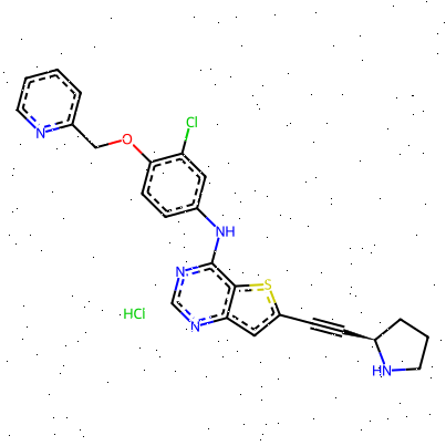 Cl.Clc1cc(Nc2ncnc3cc(C#C[C@H]4CCCN4)sc23)ccc1OCc1ccccn1